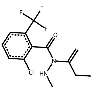 C=C(CC)N(NC)C(=O)c1c(Cl)cccc1C(F)(F)F